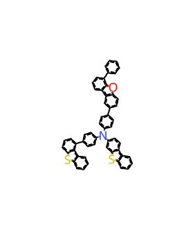 c1ccc(-c2cccc3c2oc2ccc(-c4ccc(N(c5ccc(-c6cccc7sc8ccccc8c67)cc5)c5ccc6c(c5)sc5ccccc56)cc4)cc23)cc1